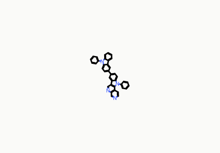 c1ccc(-n2c3ccccc3c3cc(-c4ccc5c(c4)c4cnc6cnccc6c4n5-c4ccccc4)ccc32)cc1